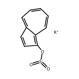 O=[S-](=O)Oc1ccc2cccccc1-2.[K+]